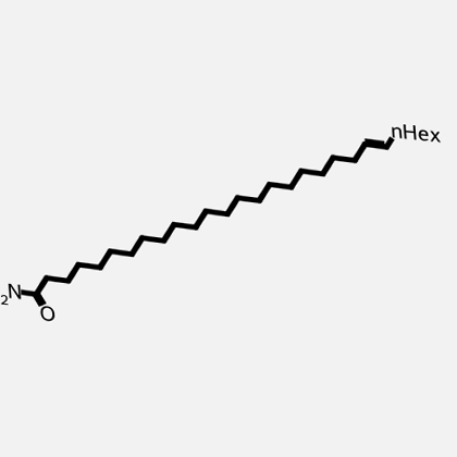 CCCCCCC=CCCCCCCCCCCCCCCCCCCCCC(N)=O